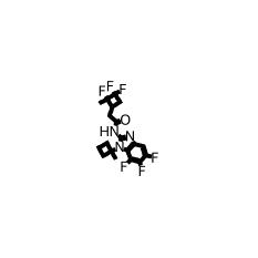 CC1(n2c(NC(=O)CC3CC(F)(F)C3(C)F)nc3cc(F)c(F)c(F)c32)CCC1